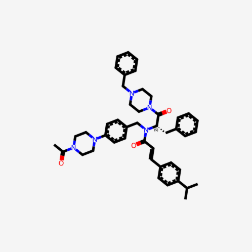 CC(=O)N1CCN(c2ccc(CN(C(=O)C=Cc3ccc(C(C)C)cc3)[C@@H](Cc3ccccc3)C(=O)N3CCN(Cc4ccccc4)CC3)cc2)CC1